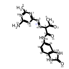 CC(=O)C(/N=N/c1nc(C)nc(N)n1)C(=O)Nc1ccc2[nH]c(=O)[nH]c2c1